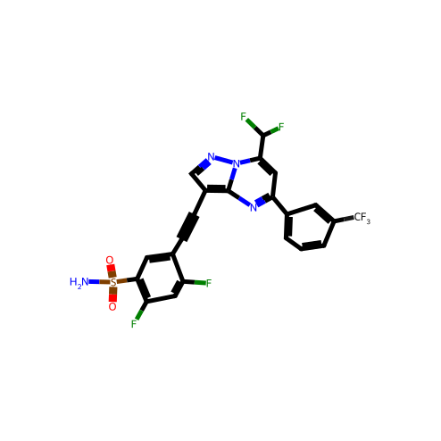 NS(=O)(=O)c1cc(C#Cc2cnn3c(C(F)F)cc(-c4cccc(C(F)(F)F)c4)nc23)c(F)cc1F